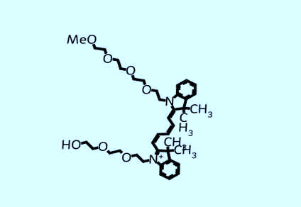 COCCOCCOCCOCCN1/C(=C/C=C\C=C/C2=[N+](CCOCCOCCO)c3ccccc3C2(C)C)C(C)(C)c2ccccc21